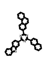 c1ccc2cc(-c3nc(-c4ccc5c(ccc6ccccc65)c4)nc(-c4ccc5c(c4)sc4ccccc45)n3)ccc2c1